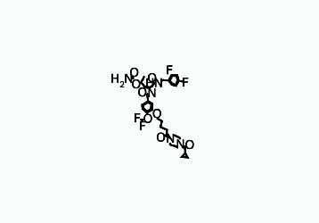 CC(OC(N)=O)c1oc(-c2ccc(OC(F)F)c(OCCCCC(=O)N3CCN(C(=O)C4CC4)CC3)c2)nc1C(=O)NCc1ccc(F)cc1F